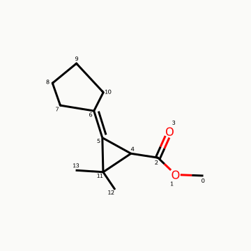 COC(=O)C1C(=C2CCCC2)C1(C)C